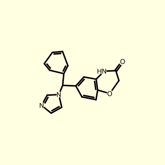 O=C1COc2ccc(C(c3ccccc3)n3ccnc3)cc2N1